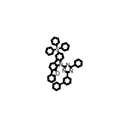 c1ccc(-c2cccc(-c3nc(-c4ccccc4)nc(-n4c5ccc(S(c6ccccc6)(c6ccccc6)c6ccccc6)cc5c5ccc6c7ccccc7oc6c54)n3)c2)cc1